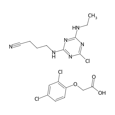 CCNc1nc(Cl)nc(NCCCC#N)n1.O=C(O)COc1ccc(Cl)cc1Cl